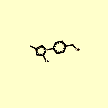 Cc1cc(C#N)n(-c2ccc(CO)cc2)c1